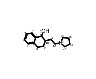 OC1c2ccccc2CCC1CCN1CCCC1